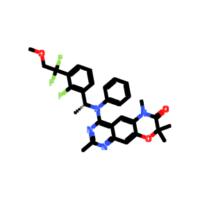 COCC(F)(F)c1cccc([C@@H](C)N(c2ccccc2)c2nc(C)nc3cc4c(cc23)N(C)C(=O)C(C)(C)O4)c1F